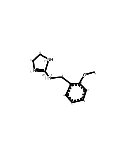 COc1ccccc1CNC1=NCCN1